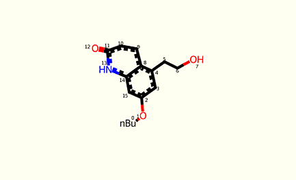 CCCCOc1cc(CCO)c2ccc(=O)[nH]c2c1